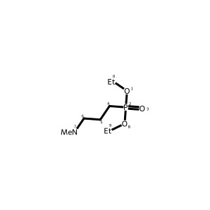 CCOP(=O)(CCCNC)OCC